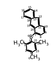 Cc1cc(C)c([B]c2cccc3cc4ccccc4cc23)c(C)c1